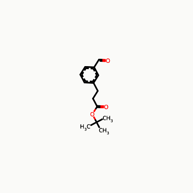 CC(C)(C)OC(=O)CCc1cccc(C=O)c1